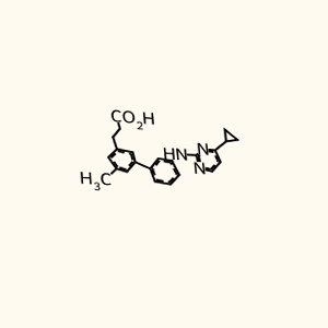 Cc1cc(CCC(=O)O)cc(-c2cccc(Nc3nccc(C4CC4)n3)c2)c1